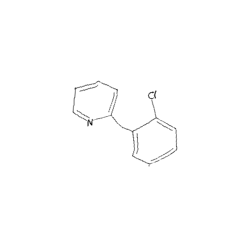 Clc1cc[c]cc1-c1ccccn1